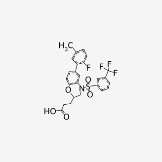 Cc1ccc(F)c(-c2ccc3c(c2)N(S(=O)(=O)c2cccc(C(F)(F)F)c2)CC(CCC(=O)O)O3)c1